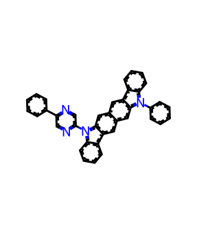 c1ccc(-c2cnc(-n3c4ccccc4c4cc5cc6c(cc5cc43)c3ccccc3n6-c3ccccc3)cn2)cc1